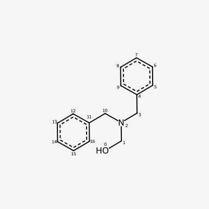 OCN(Cc1ccccc1)Cc1ccccc1